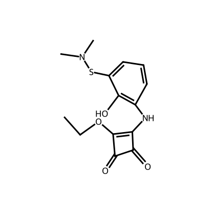 CCOc1c(Nc2cccc(SN(C)C)c2O)c(=O)c1=O